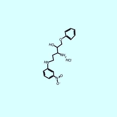 Cl.NC(CCNc1cccc([N+](=O)[O-])c1)C(O)COc1ccccc1